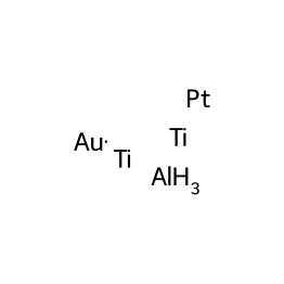 [AlH3].[Au].[Pt].[Ti].[Ti]